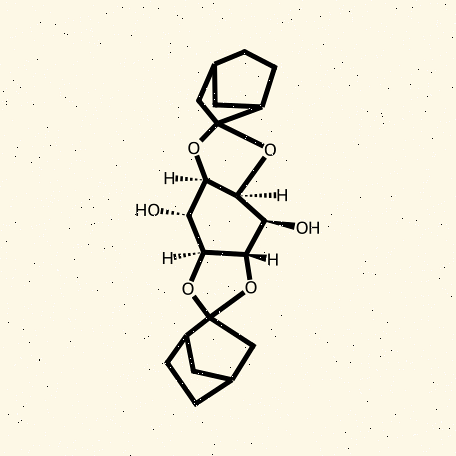 O[C@@H]1[C@H]2OC3(CC4CCC3C4)O[C@H]2[C@@H](O)[C@@H]2OC3(CC4CCC3C4)O[C@@H]12